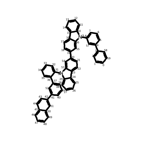 c1ccc(-c2cccc(-n3c4ccccc4c4ccc(-c5ccc6c7ccccc7n(-c7ccccc7-c7cccc(-c8ccc9ccccc9c8)c7)c6c5)cc43)c2)cc1